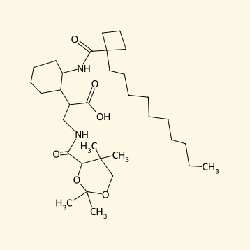 CCCCCCCCCCC1(C(=O)NC2CCCCC2C(CNC(=O)C2OC(C)(C)OCC2(C)C)C(=O)O)CCC1